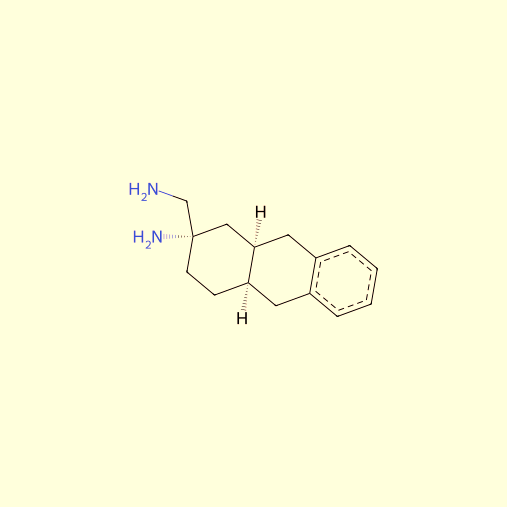 NC[C@]1(N)CC[C@@H]2Cc3ccccc3C[C@@H]2C1